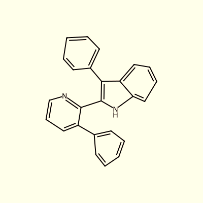 c1ccc(-c2cccnc2-c2[nH]c3ccccc3c2-c2ccccc2)cc1